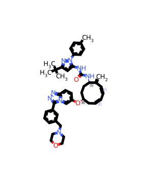 C=C1/C=C\C=C/C[C@H](Oc2ccc3nnc(-c4cccc(CN5CCOCC5)c4)n3c2)CC[C@@H]1NC(=O)Nc1cc(C(C)(C)C)nn1-c1ccc(C)cc1